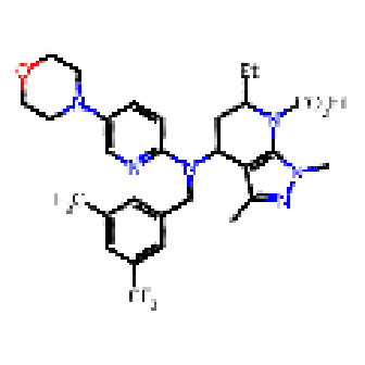 CCOC(=O)N1c2c(c(C)nn2C)C(N(Cc2cc(C(F)(F)F)cc(C(F)(F)F)c2)c2ccc(N3CCOCC3)cn2)CC1CC